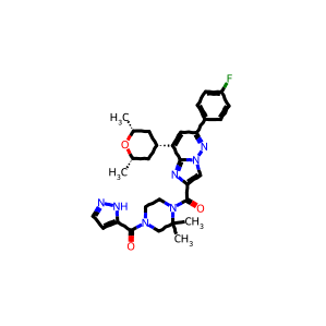 C[C@@H]1C[C@H](c2cc(-c3ccc(F)cc3)nn3cc(C(=O)N4CCN(C(=O)c5ccn[nH]5)CC4(C)C)nc23)C[C@H](C)O1